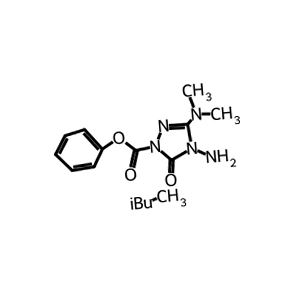 CCC(C)C.CN(C)c1nn(C(=O)Oc2ccccc2)c(=O)n1N